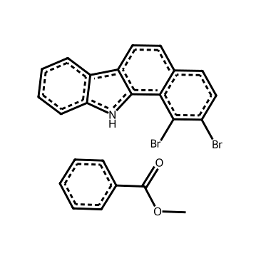 Brc1ccc2ccc3c4ccccc4[nH]c3c2c1Br.COC(=O)c1ccccc1